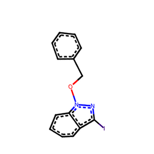 Ic1nn(OCc2ccccc2)c2ccccc12